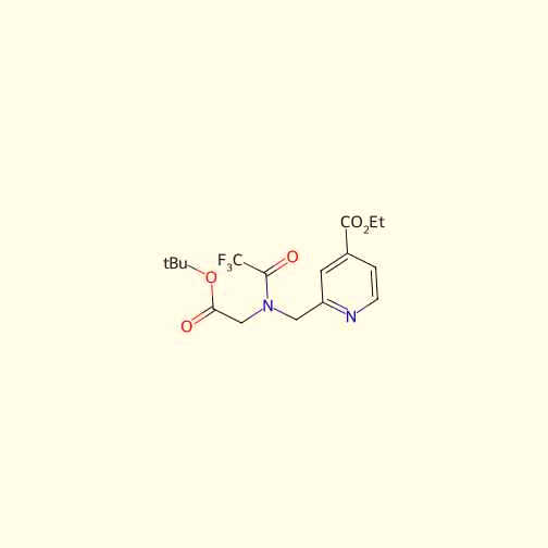 CCOC(=O)c1ccnc(CN(CC(=O)OC(C)(C)C)C(=O)C(F)(F)F)c1